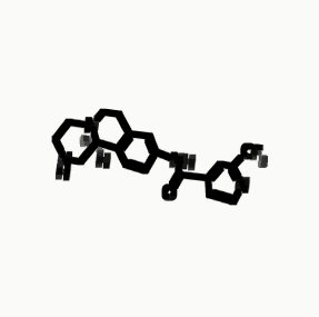 O=C(Nc1ccc2c(c1)CCN1CCNC[C@H]21)c1ccnc(C(F)(F)F)c1